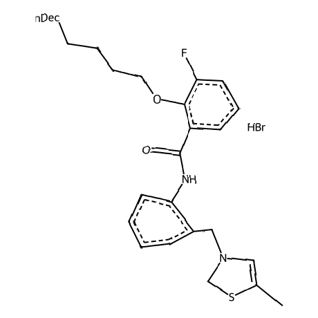 Br.CCCCCCCCCCCCCCOc1c(F)cccc1C(=O)Nc1ccccc1CN1C=C(C)SC1